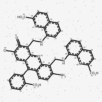 Nc1ccc2c(-c3ccccc3C(=O)O)c3cc(Cl)c(=O)c(CNc4cccc5ccc(C(=O)O)nc45)c-3oc2c1CNc1cccc2ccc(C(=O)O)nc12